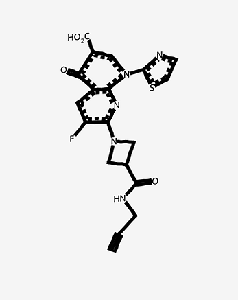 C#CCNC(=O)C1CN(c2nc3c(cc2F)c(=O)c(C(=O)O)cn3-c2nccs2)C1